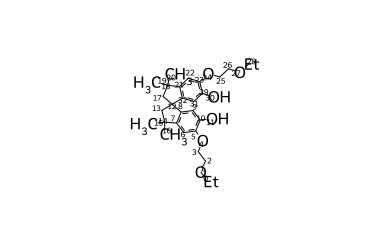 CCOCCOc1cc2c(cc1O)C1(CC2(C)C)CC(C)(C)c2cc(OCCOCC)c(O)cc21